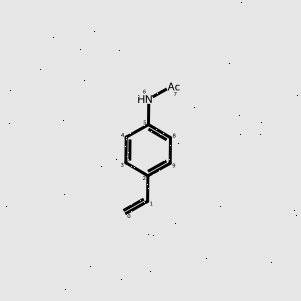 C=Cc1ccc([NH][Ac])cc1